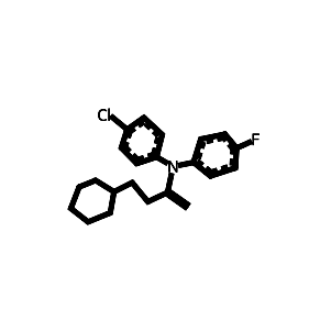 C=C(CCC1CCCCC1)N(c1ccc(F)cc1)c1ccc(Cl)cc1